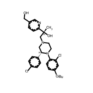 CC(C)COc1ccc(N2CCN(C[C@@](C)(O)c3ccc(CO)cn3)C[C@H]2c2ccc(Cl)cc2)c(Cl)c1